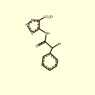 CCOC(=O)c1nnsc1NC(=O)C(CC)c1ccccc1